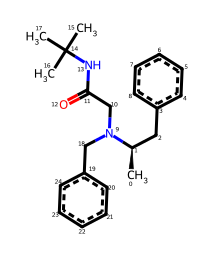 C[C@H](Cc1ccccc1)N(CC(=O)NC(C)(C)C)Cc1ccccc1